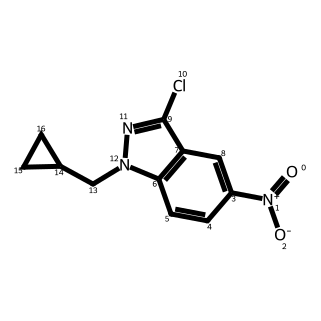 O=[N+]([O-])c1ccc2c(c1)c(Cl)nn2CC1CC1